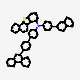 c1ccc2cc(-c3ccc(N(c4ccc(-c5ccc(-c6cc7ccccc7c7ccccc67)cc5)cc4)c4cccc5sc6c7ccccc7ccc6c45)cc3)ccc2c1